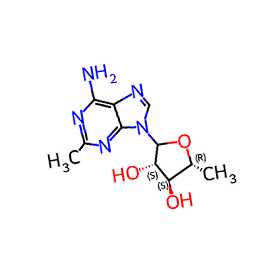 Cc1nc(N)c2ncn(C3O[C@H](C)[C@@H](O)[C@@H]3O)c2n1